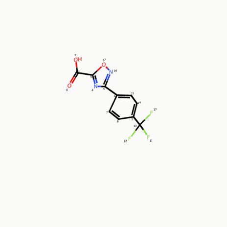 O=C(O)c1nc(-c2ccc(C(F)(F)F)cc2)no1